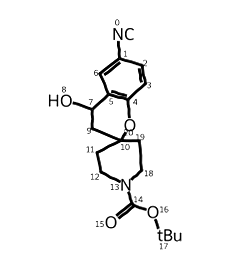 [C-]#[N+]c1ccc2c(c1)C(O)CC1(CCN(C(=O)OC(C)(C)C)CC1)O2